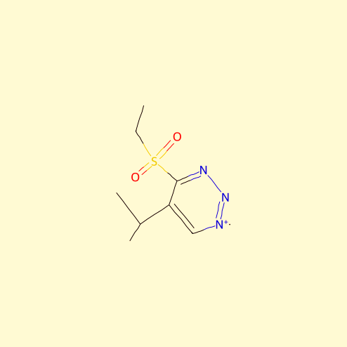 CCS(=O)(=O)C1=NN=[N+]C=C1C(C)C